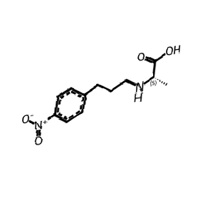 C[C@H](NCCCc1ccc([N+](=O)[O-])cc1)C(=O)O